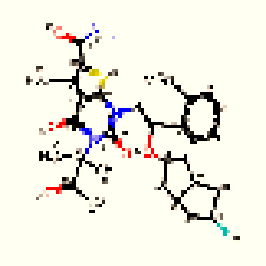 COc1ccccc1C(Cn1c(=O)n(C(C)(C)C(=O)N=O)c(=O)c2c(C)c(C(N)=O)sc21)OC1CC2CC(F)CC2C1